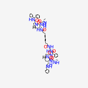 CC[C@H](NC)C(=O)N[C@@H]1C(=O)N2[C@@H](CC[C@@H]1CNC(=O)CCC#CC#CCCC(=O)NCCNC(=O)[C@@H](NC(=O)[C@@H]1CC[C@@H]3CC[C@H](CCNCc4ccccc4)[C@H](NC(=O)[C@H](CC)NC)C(=O)N31)c1ccccc1)CC[C@H]2C(=O)NC(c1ccccc1)c1ccccc1